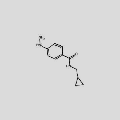 NNc1ccc(C(=O)NCC2CC2)cc1